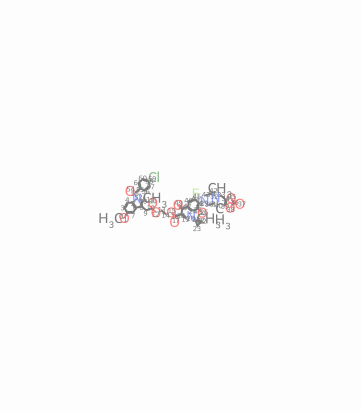 COc1ccc2c(c1)c(CC(=O)OCCOC(=O)c1cn(C3CC3)c3c(OC)c(N4CCN(Cc5oc(=O)oc5C)C(C)C4)c(F)cc3c1=O)c(C)n2C(=O)c1ccc(Cl)cc1